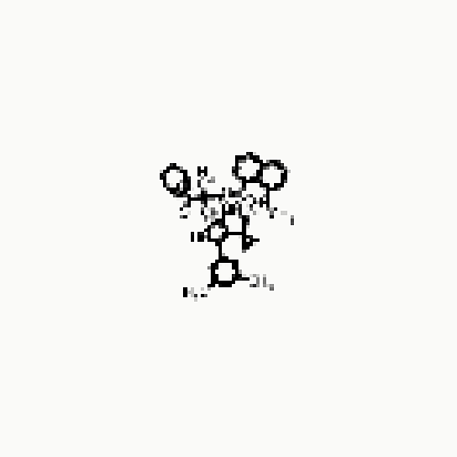 Cc1cc(C)cc(-c2[nH]nc(OCC(C)(C)C(=O)N3C4CCC3CC4)c2C2(CNS(=O)(=O)c3cccc4cccc(N(C)C)c34)CC2)c1